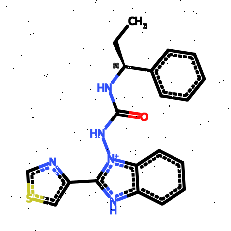 CC[C@H](NC(=O)N[n+]1c(-c2cscn2)[nH]c2ccccc21)c1ccccc1